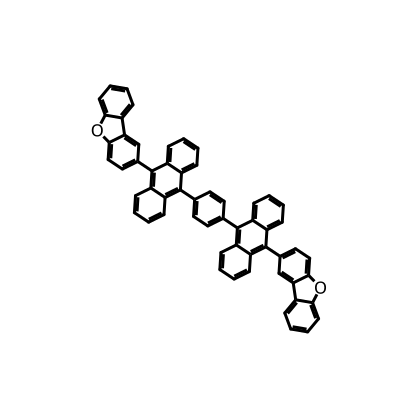 c1ccc2c(c1)oc1ccc(-c3c4ccccc4c(-c4ccc(-c5c6ccccc6c(-c6ccc7oc8ccccc8c7c6)c6ccccc56)cc4)c4ccccc34)cc12